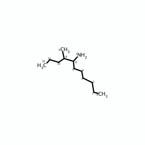 CCCCCCC(N)C(C)CCC